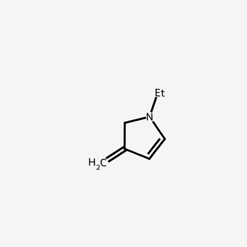 C=C1C=CN(CC)C1